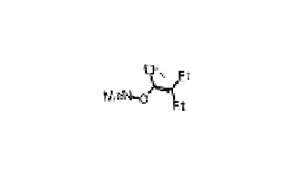 CCC(CC)=C(ONC)C(F)(F)F